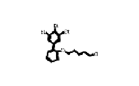 CCc1cc(-c2ccccc2OCCCCCCl)cc(CC)c1CC